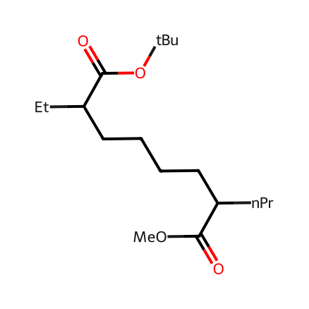 CCCC(CCCCC(CC)C(=O)OC(C)(C)C)C(=O)OC